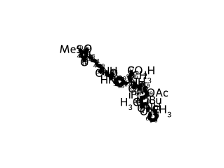 CC[C@H](C)[C@H](NC(=O)[C@H]1CCCCN1C)C(=O)N(C)[C@H](C[C@@H](OC(C)=O)c1nc(C(=O)N[C@@H](Cc2ccc(NC(=O)CNC(=O)CCCCCN3C(=O)CC(SC)C3=O)cc2)CC(C)C(=O)O)cs1)C(C)C